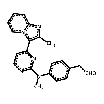 Cc1nc2ccccn2c1-c1ccnc(N(C)c2ccc(CC=O)cc2)n1